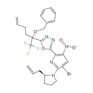 C=CCCC(OCc1ccccc1)(c1nnc(-c2nc(N3CCC[C@H]3CC=C)c(Br)cc2[N+](=O)[O-])o1)C(F)(F)F